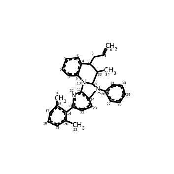 C=CCC1c2ccccc2N2c3nc(-c4c(C)cccc4C)ccc3N(c3ccccc3)C2C1C